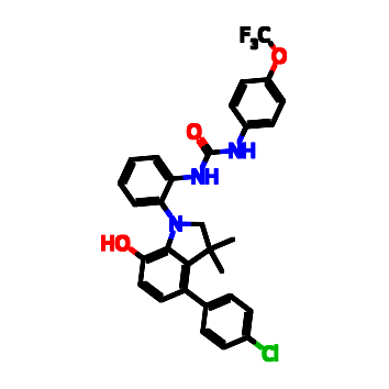 CC1(C)CN(c2ccccc2NC(=O)Nc2ccc(OC(F)(F)F)cc2)c2c(O)ccc(-c3ccc(Cl)cc3)c21